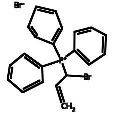 C=CC(Br)[P+](c1ccccc1)(c1ccccc1)c1ccccc1.[Br-]